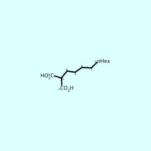 [CH2]CCCCCCCCCC(C(=O)O)C(=O)O